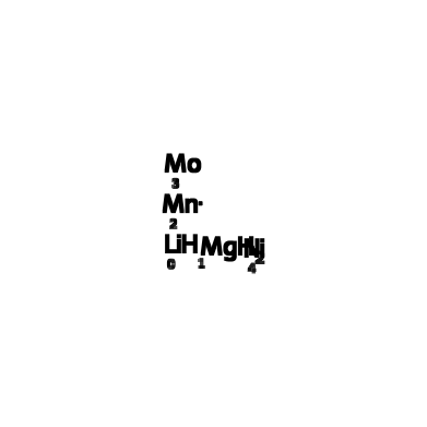 [LiH].[MgH2].[Mn].[Mo].[Ni]